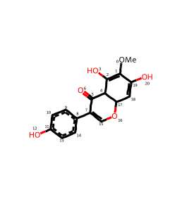 COC1=C(O)C2C(=O)C(c3ccc(O)cc3)=COC2C=C1O